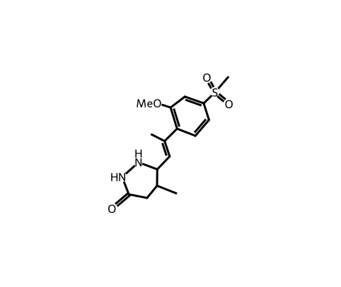 COc1cc(S(C)(=O)=O)ccc1/C(C)=C/C1NNC(=O)CC1C